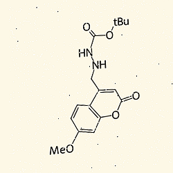 COc1ccc2c(CNNC(=O)OC(C)(C)C)cc(=O)oc2c1